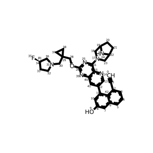 C#Cc1cccc2cc(O)cc(-c3cnc4c(N5CC6CCC(C5)N6)nc(OCC5(CN6CC[C@@H](F)C6)CC5)nc4c3)c12